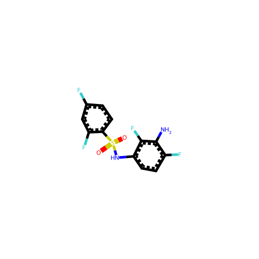 Nc1c(F)ccc(NS(=O)(=O)c2ccc(F)cc2F)c1F